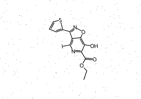 CCOC(=O)c1nc(I)c2c(-c3cccs3)noc2c1O